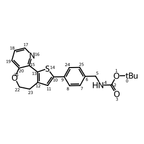 CC(C)(C)OC(=O)NCc1ccc(-c2cc3c(s2)-c2ncccc2OCC3)cc1